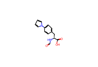 O=CN[C@@H](Cc1ccc(-n2cccc2)cc1)C(=O)O